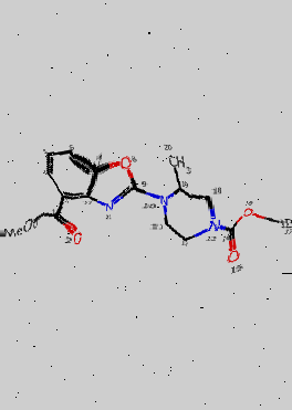 COC(=O)c1cccc2oc(N3CCN(C(=O)OC(C)(C)C)CC3C)nc12